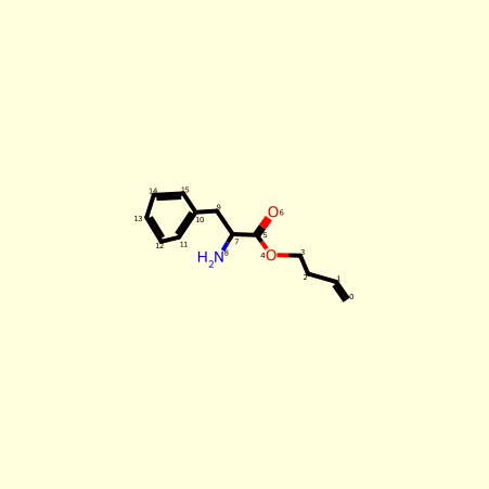 C=CCCOC(=O)C(N)Cc1ccccc1